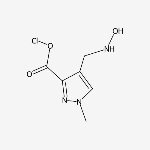 Cn1cc(CNO)c(C(=O)OCl)n1